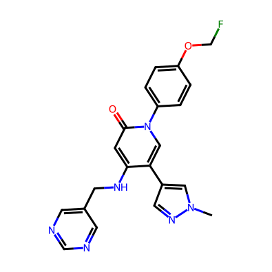 Cn1cc(-c2cn(-c3ccc(OCF)cc3)c(=O)cc2NCc2cncnc2)cn1